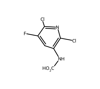 O=C(O)Nc1cc(F)c(Cl)nc1Cl